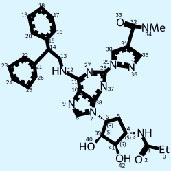 CCC(=O)N[C@H]1C[C@@H](n2cnc3c(NCC(c4ccccc4)c4ccccc4)nc(-n4cc(C(=O)NC)cn4)nc32)[C@H](O)[C@@H]1O